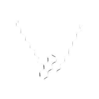 BrCCCCCCCCCC/C=C\c1c2ccccc2c(OCCCCCCCCCCBr)c2ccccc12